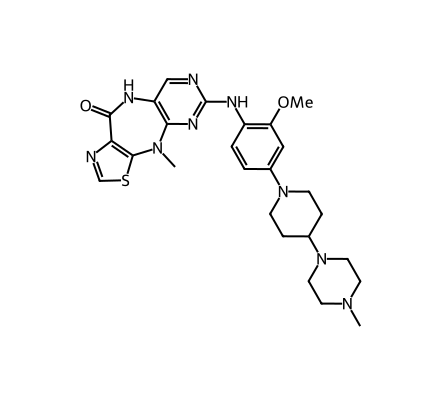 COc1cc(N2CCC(N3CCN(C)CC3)CC2)ccc1Nc1ncc2c(n1)N(C)c1scnc1C(=O)N2